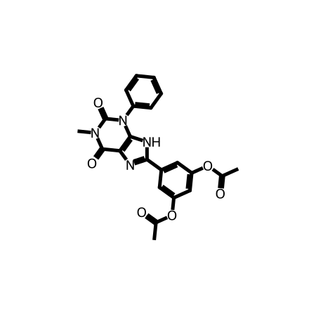 CC(=O)Oc1cc(OC(C)=O)cc(-c2nc3c(=O)n(C)c(=O)n(-c4ccccc4)c3[nH]2)c1